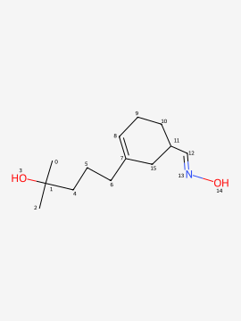 CC(C)(O)CCCC1=CCCC(C=NO)C1